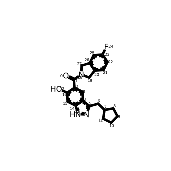 O=C(c1cc2c(CC3CCCC3)n[nH]c2cc1O)N1Cc2ccc(F)cc2C1